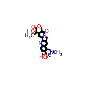 CC[C@@]1(O)C(=O)OCc2c1cc1n(c2=O)Cc2cc3c(CN(C)C)c(CO)ccc3nc2-1